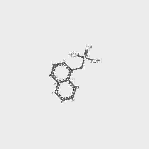 O=P(O)(O)Cc1cccc2ccccc12